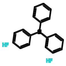 F.F.c1ccc([Si](c2ccccc2)c2ccccc2)cc1